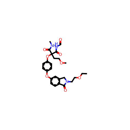 CCOCCN1Cc2cc(Oc3ccc(OC(CCOC)(C(=O)NC)C(=O)NC=O)cc3)ccc2C1=O